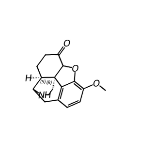 COc1ccc2c3c1OC1C(=O)CC[C@@H]4C(C2)NCC[C@@]314